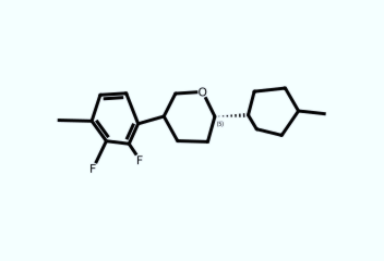 Cc1ccc(C2CC[C@@H](C3CCC(C)CC3)OC2)c(F)c1F